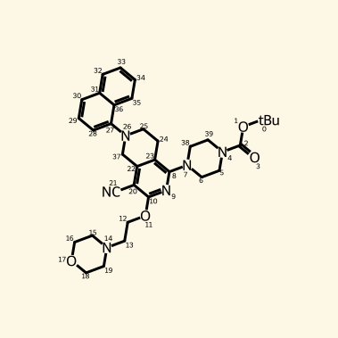 CC(C)(C)OC(=O)N1CCN(c2nc(OCCN3CCOCC3)c(C#N)c3c2CCN(c2cccc4ccccc24)C3)CC1